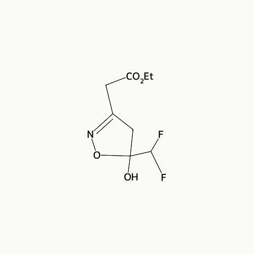 CCOC(=O)CC1=NOC(O)(C(F)F)C1